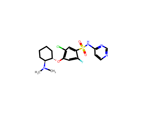 CN(C)[C@H]1CCCC[C@@H]1Oc1cc(F)c(S(=O)(=O)Nc2ccncn2)cc1Cl